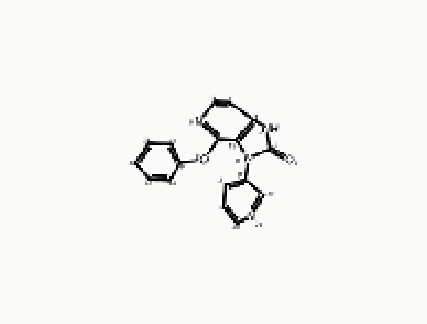 O=c1[nH]c2ccnc(Oc3ccccc3)c2n1-c1cccnc1